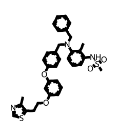 Cc1ncsc1CCOc1cccc(Oc2ccc(CN(Cc3ccccc3)c3cccc(NS(C)(=O)=O)c3C)cc2)c1